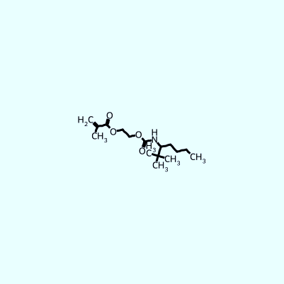 C=C(C)C(=O)OCCOC(=O)NC(CCCC)C(C)(C)C